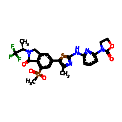 Cc1nc(Nc2cccc(N3CCOC3=O)n2)sc1-c1cc2c(c(S(C)(=O)=O)c1)C(=O)N([C@@H](C)C(F)(F)F)C2